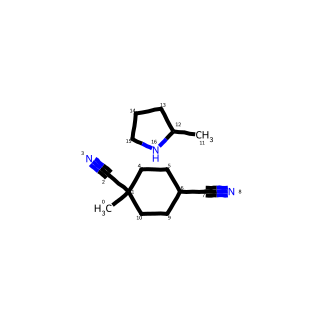 CC1(C#N)CCC(C#N)CC1.CC1CCCN1